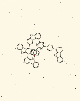 c1ccc(-c2nc(-c3ccc(-c4cccc5c4oc4ccccc45)cc3)nc(-c3cccc4oc5ccc(-c6ccc(-c7cccc8c9ccccc9n(-c9ccccc9)c78)c7oc8ccccc8c67)cc5c34)n2)cc1